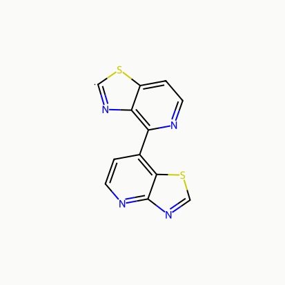 [c]1nc2c(-c3ccnc4ncsc34)nccc2s1